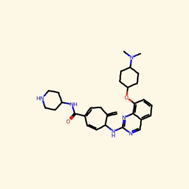 C=C1CC=C(C(=O)NC2CCNCC2)C=CC1Nc1ncc2cccc(OC3CCC(N(C)C)CC3)c2n1